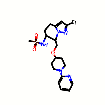 CCc1cc2n(n1)C(COC1CCN(c3ccccn3)CC1)C(NS(C)(=O)=O)CC2